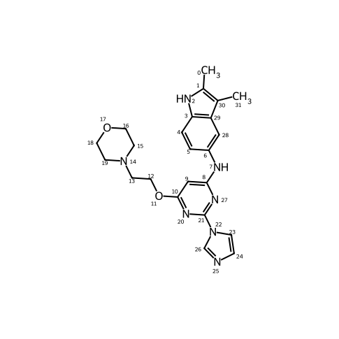 Cc1[nH]c2ccc(Nc3cc(OCCN4CCOCC4)nc(-n4ccnc4)n3)cc2c1C